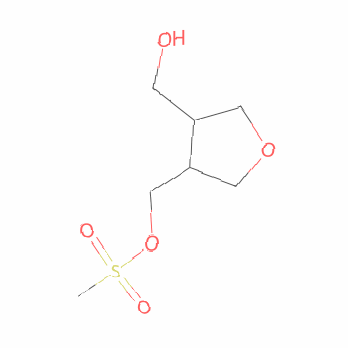 CS(=O)(=O)OCC1COCC1CO